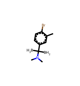 BC(B)(c1ccc(Br)c(C)c1)N(C)C